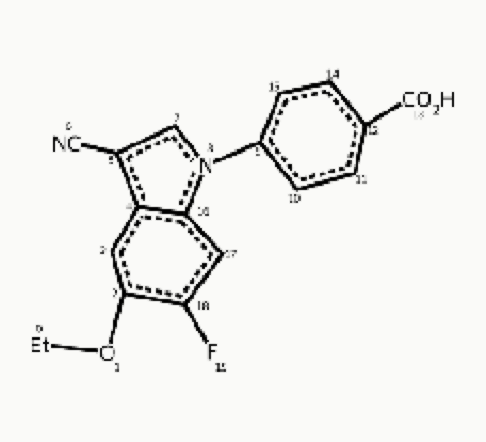 CCOc1cc2c(C#N)cn(-c3ccc(C(=O)O)cc3)c2cc1F